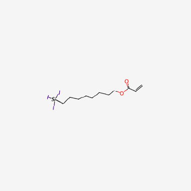 C=CC(=O)OCCCCCCCC[Si](I)(I)I